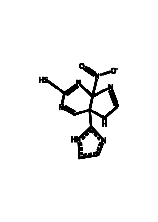 O=[N+]([O-])C12N=CNC1(c1ncc[nH]1)C=NC(S)=N2